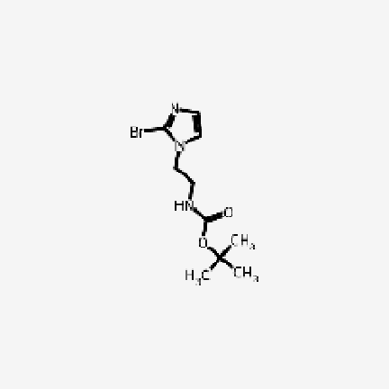 CC(C)(C)OC(=O)NCCn1ccnc1Br